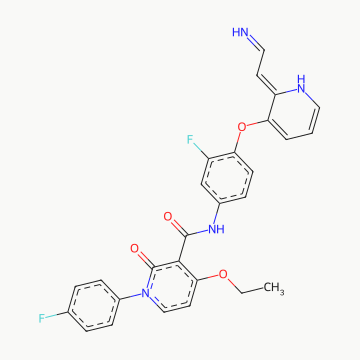 CCOc1ccn(-c2ccc(F)cc2)c(=O)c1C(=O)Nc1ccc(OC2=CC=CN/C2=C\C=N)c(F)c1